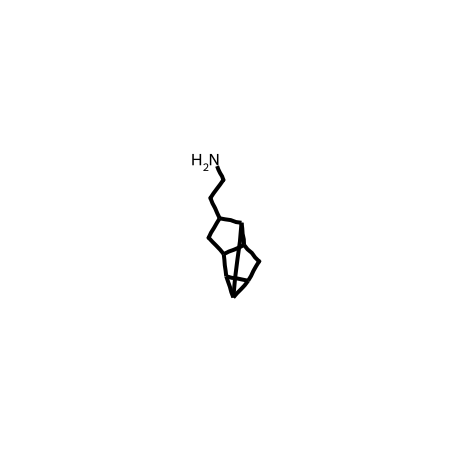 NCCC1CC2C3CC4C2C4C13